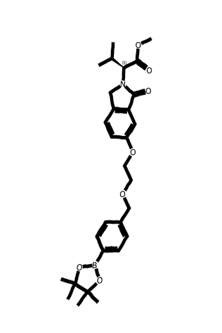 COC(=O)[C@H](C(C)C)N1Cc2ccc(OCCOCc3ccc(B4OC(C)(C)C(C)(C)O4)cc3)cc2C1=O